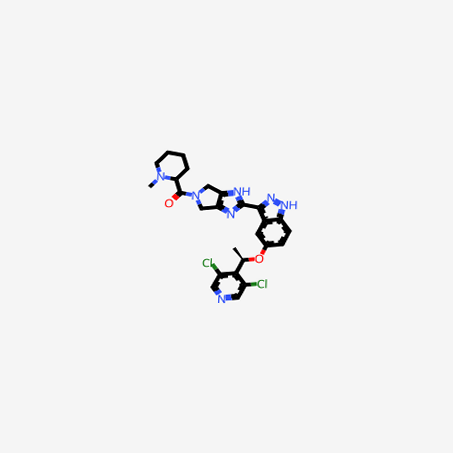 C[C@@H](Oc1ccc2[nH]nc(-c3nc4c([nH]3)CN(C(=O)C3CCCCN3C)C4)c2c1)c1c(Cl)cncc1Cl